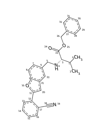 CC(C)[C@H](NCc1ccc2oc(-c3ccccc3C#N)cc2c1)C(=O)OCc1ccccc1